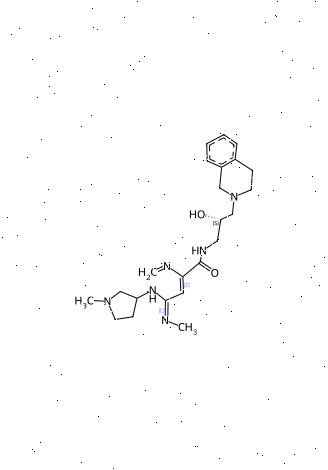 C=N/C(=C\C(=N/C)NC1CCN(C)C1)C(=O)NC[C@H](O)CN1CCc2ccccc2C1